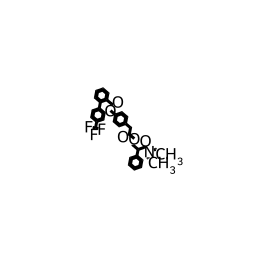 CCN(CC)C(=O)C(COC(=O)Cc1ccc(OC(=O)c2ccccc2-c2ccc(C(F)(F)F)cc2)cc1)c1ccccc1